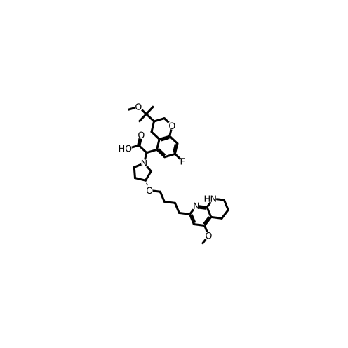 COc1cc(CCCCO[C@@H]2CCN(C(C(=O)O)c3cc(F)cc4c3CC(C(C)(C)OC)CO4)C2)nc2c1CCCN2